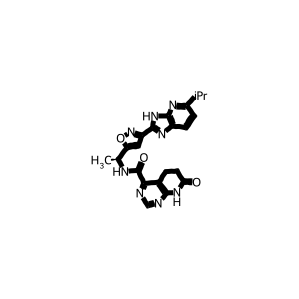 CC(C)c1ccc2nc(-c3cc([C@@H](C)NC(=O)c4ncnc5c4CCC(=O)N5)on3)[nH]c2n1